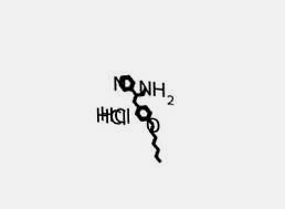 CCCCCCOc1ccc(CC(CN)c2cccnc2)cc1.Cl.Cl